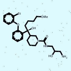 CCc1ccccc1Oc1ccccc1[C@](O)(CCCCOC)C1CCCN(C(=O)NCC(O)CN)C1